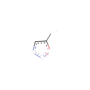 Cc1cnno1